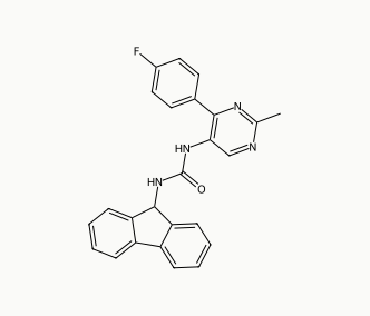 Cc1ncc(NC(=O)NC2c3ccccc3-c3ccccc32)c(-c2ccc(F)cc2)n1